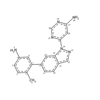 Cc1ccc(N)cc1-c1ccc2cnn(-c3cc(N)ncn3)c2c1